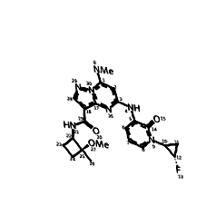 CNc1cc(Nc2cccn(C3C[C@@H]3F)c2=O)nc2c(C(=O)NC3CC[C@]3(C)OC)cnn12